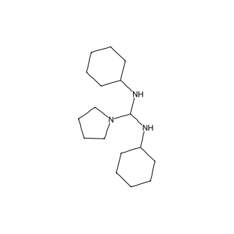 C1CCC(NC(NC2CCCCC2)N2CCCC2)CC1